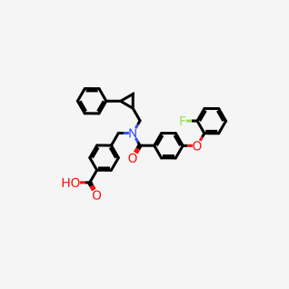 O=C(O)c1ccc(CN(CC2CC2c2ccccc2)C(=O)c2ccc(Oc3ccccc3F)cc2)cc1